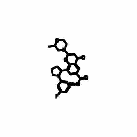 COC(=O)c1cc(C2CCCN2c2cccc(F)c2)c2oc(N3CCOC(C)C3)cc(=O)c2c1